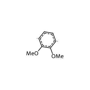 COc1[c]cc[c]c1OC